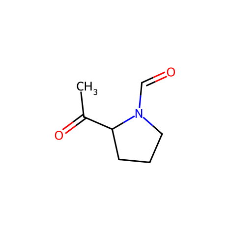 CC(=O)C1CCCN1C=O